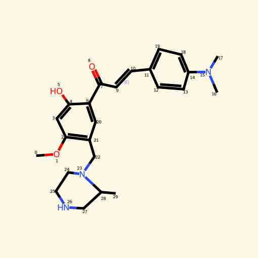 COc1cc(O)c(C(=O)/C=C/c2ccc(N(C)C)cc2)cc1CN1CCNCC1C